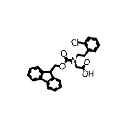 O=C(O)CN(CCc1ccccc1Cl)C(=O)OCC1c2ccccc2-c2ccccc21